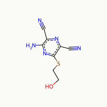 N#Cc1nc(C#N)c(SCCO)nc1N